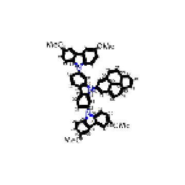 COc1ccc2c(c1)c1cc(OC)ccc1n2-c1ccc2c3ccc(-n4c5ccc(OC)cc5c5cc(OC)ccc54)cc3n(-c3cc4ccc5cccc6ccc(c3)c4c56)c2c1